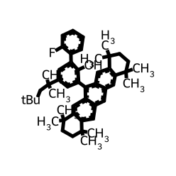 CC(C)(C)CC(C)(C)c1cc(-c2ccccc2F)c(O)c(-c2c3cc4c(cc3cc3cc5c(cc23)C(C)(C)CCC5(C)C)C(C)(C)CCC4(C)C)c1